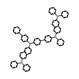 c1ccc(-c2ccc(N(c3ccc(-c4ccc(N(c5ccccc5)c5ccc6cc(N(c7ccccc7)c7ccccc7)ccc6c5)cc4)cc3)c3ccc4cc(N(c5ccccc5)c5ccccc5)ccc4c3)cc2)cc1